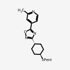 CCCCC[C@H]1CC[C@H](c2noc(-c3ccnc(C)c3)n2)CC1